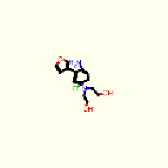 NC1=CCC(Cl)(N(CCO)CCO)C=C1c1ccoc1